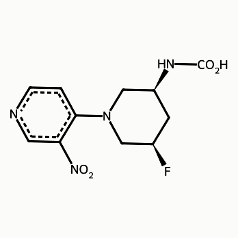 O=C(O)N[C@H]1C[C@@H](F)CN(c2ccncc2[N+](=O)[O-])C1